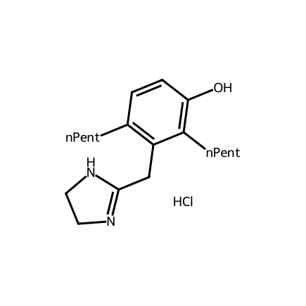 CCCCCc1ccc(O)c(CCCCC)c1CC1=NCCN1.Cl